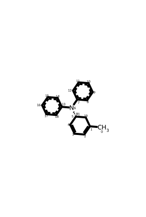 CC1=CC=C[C@H](N(c2ccccc2)c2ccccc2)C1